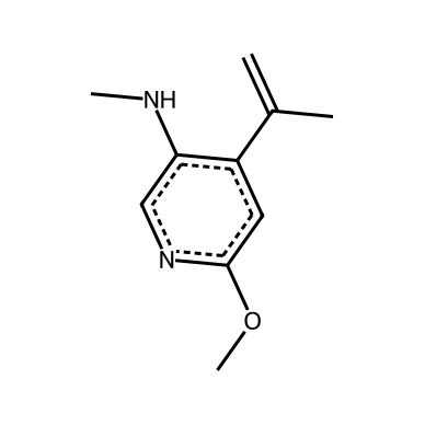 C=C(C)c1cc(OC)ncc1NC